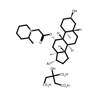 CC(=O)[C@H]1CC[C@H]2[C@@H]3CC[C@H]4C[C@H](O)CC[C@]4(C)[C@H]3[C@@H](OC(=O)CN3CCCCC3C)C[C@]12C.O=C(O)CC(O)(CC(=O)O)C(=O)O